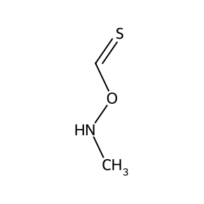 CNOC=S